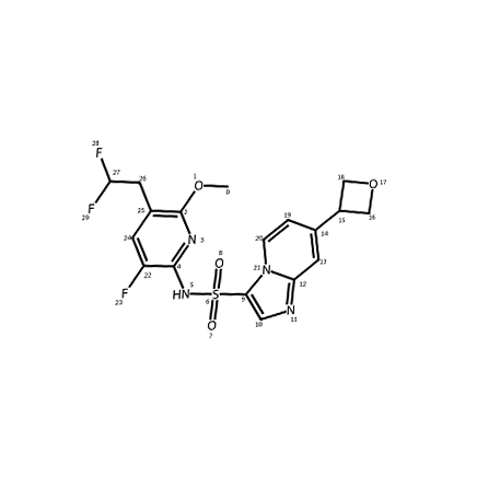 COc1nc(NS(=O)(=O)c2cnc3cc(C4COC4)ccn23)c(F)cc1CC(F)F